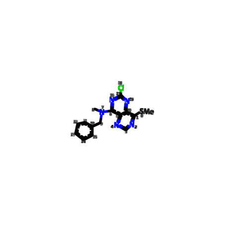 CSc1ncnc2c(N(C)Cc3ccccc3)nc(Cl)nc12